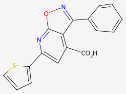 O=C(O)c1cc(-c2cccs2)nc2onc(-c3ccccc3)c12